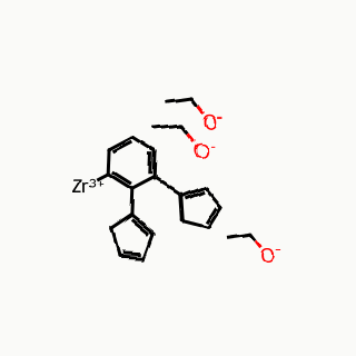 CC[O-].CC[O-].CC[O-].[Zr+3][c]1cccc(C2=CC=CC2)c1C1=CC=CC1